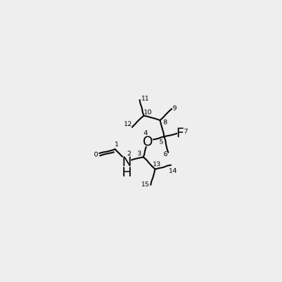 C=CNC(OC(C)(F)C(C)C(C)C)C(C)C